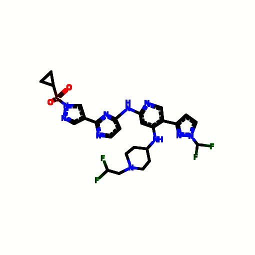 O=S(=O)(C1CC1)n1cc(-c2nccc(Nc3cc(NC4CCN(CC(F)F)CC4)c(-c4ccn(C(F)F)n4)cn3)n2)cn1